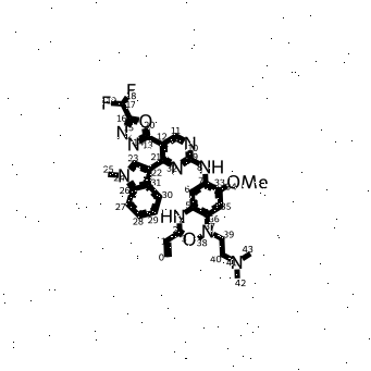 C=CC(=O)Nc1cc(Nc2ncc(-c3nnc(C(F)F)o3)c(-c3cn(C)c4ccccc34)n2)c(OC)cc1N(C)CCN(C)C